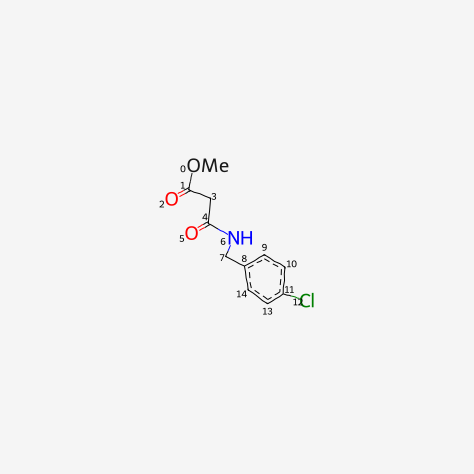 COC(=O)CC(=O)NCc1ccc(Cl)cc1